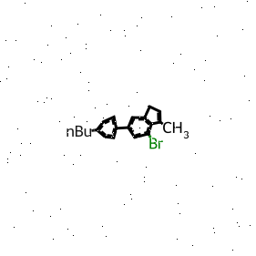 CCCCc1ccc(-c2cc(Br)c3c(c2)CC=C3C)cc1